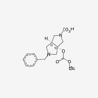 CC(C)(C)OC(=O)O[C@]12CN(Cc3ccccc3)C[C@H]1CN(C(=O)O)C2